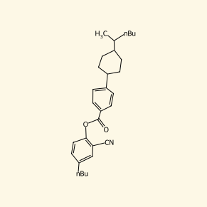 CCCCc1ccc(OC(=O)c2ccc(C3CCC(C(C)CCCC)CC3)cc2)c(C#N)c1